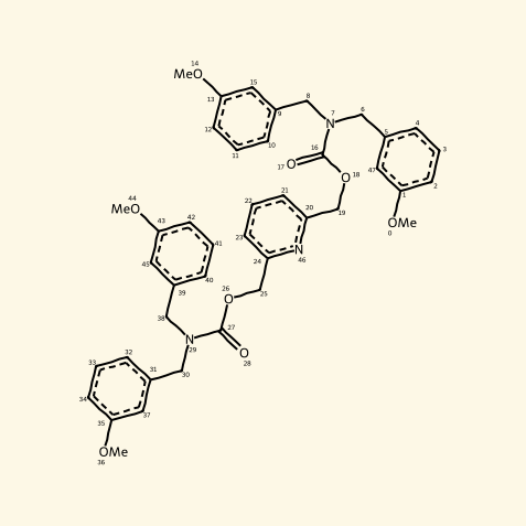 COc1cccc(CN(Cc2cccc(OC)c2)C(=O)OCc2cccc(COC(=O)N(Cc3cccc(OC)c3)Cc3cccc(OC)c3)n2)c1